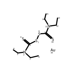 CCN(CC)C(=S)SSC(=S)N(CC)CC.[Au]